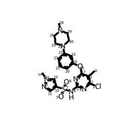 Cc1c(Cl)nc(NS(=O)(=O)c2cnn(C)c2)nc1Oc1cccc(N2CCN(C)CC2)c1